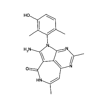 CC1=Cc2nc(C)nc3c2c(c(N)n3-c2c(C)ccc(O)c2C)C(=O)N1